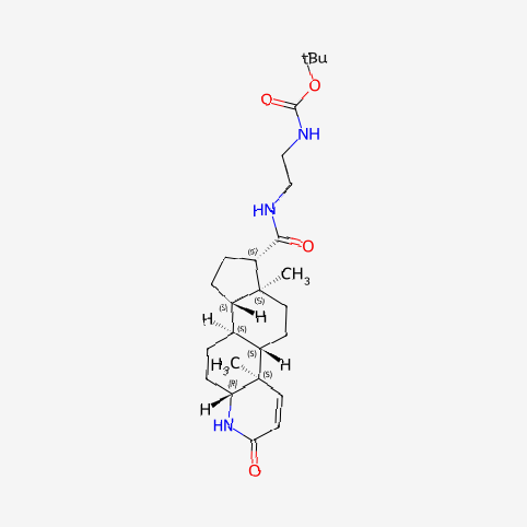 CC(C)(C)OC(=O)NCCNC(=O)[C@H]1CC[C@H]2[C@@H]3CC[C@H]4NC(=O)C=C[C@]4(C)[C@H]3CC[C@]12C